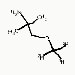 [2H]C([2H])([2H])OCC(C)(C)N